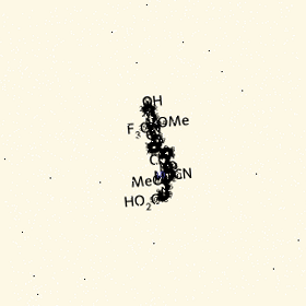 CO/N=c1/c2nc(-c3cccc(-c4cccc5c4CC[C@@H]5Oc4nc(OC)c(CN5CC[C@@H](O)C5)nc4C(F)(F)F)c3Cl)oc2c(C#N)cn1CCN1CC[C@@H](C(=O)O)C1